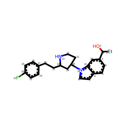 CCC(O)c1ccc2ccn(C3CCNC(CCc4ccc(F)cc4)C3)c2c1